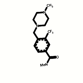 CNC(=O)c1ccc(CN2CCN(C)CC2)c(C(F)(F)F)c1